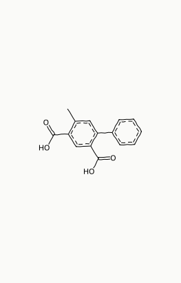 Cc1cc(-c2ccccc2)c(C(=O)O)cc1C(=O)O